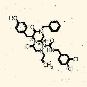 C=CCN1CC(=O)N2[C@@H](Cc3ccc(O)cc3)C(=O)N(Cc3ccccc3)C[C@@H]2N1C(=O)NCc1ccc(Cl)c(Cl)c1